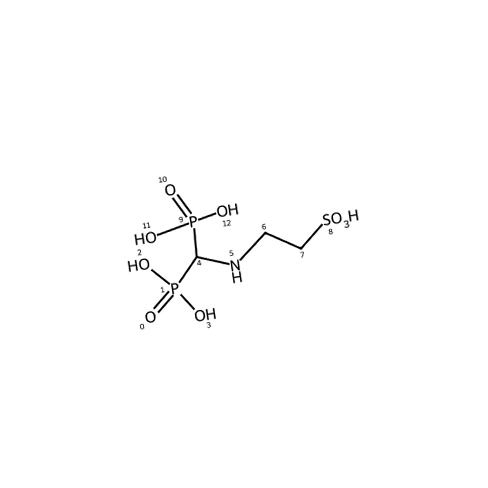 O=P(O)(O)C(NCCS(=O)(=O)O)P(=O)(O)O